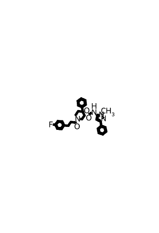 Cn1nc(-c2ccccc2)cc1NC(=O)OC1(c2ccccc2)CCN(C(=O)CCc2ccc(F)cc2)CC1